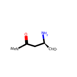 CNC(=O)C[C@@H](N)[C]=O